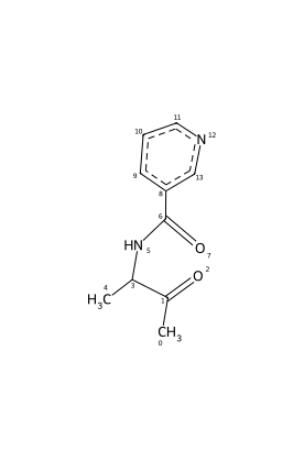 CC(=O)C(C)NC(=O)c1cccnc1